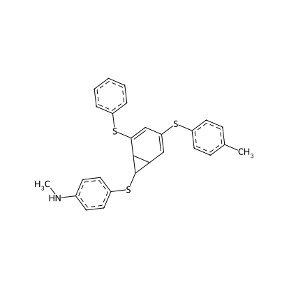 CNc1ccc(SC2C3C=C(Sc4ccc(C)cc4)C=C(Sc4ccccc4)C32)cc1